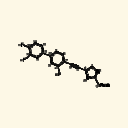 CCCCCc1ncc(C#Cc2ccc(-c3ccc(F)c(F)c3)cc2F)s1